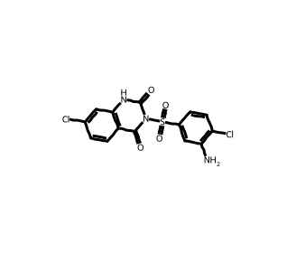 Nc1cc(S(=O)(=O)n2c(=O)[nH]c3cc(Cl)ccc3c2=O)ccc1Cl